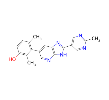 Cc1ncc(-c2nc3cc(-c4c(C)ccc(O)c4C)cnc3[nH]2)cn1